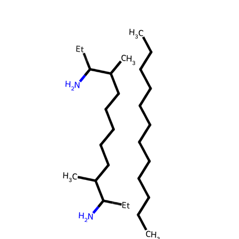 CCC(N)C(C)CCCCCC(C)C(N)CC.CCCCCCCCCCCC